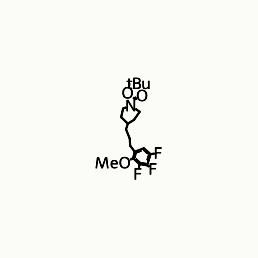 COc1c(CCCC2CCN(C(=O)OC(C)(C)C)CC2)cc(F)c(F)c1F